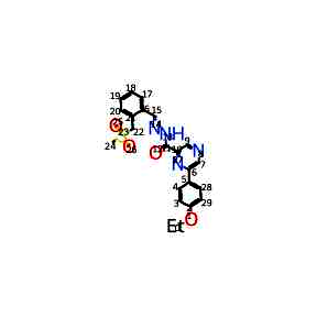 CCOc1ccc(-c2cncc(C(=O)NN=Cc3ccccc3CS(C)(=O)=O)n2)cc1